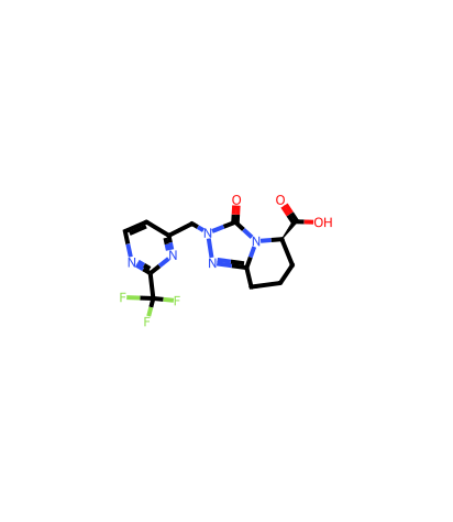 O=C(O)[C@H]1CCCc2nn(Cc3ccnc(C(F)(F)F)n3)c(=O)n21